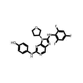 Oc1ccc(Nc2ncc3nc(Nc4c(F)cc(F)cc4F)n([C@H]4CCOC4)c3n2)cc1